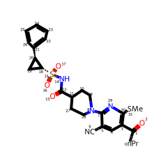 CCCC(=O)c1cc(C#N)c(N2CCC(C(=O)NS(=O)(=O)[C@@H]3C[C@H]3c3ccccc3)CC2)nc1SC